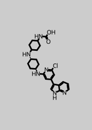 O=C(O)NC1CCC(N[C@H]2CC[C@H](Nc3cc(-c4c[nH]c5ncccc45)cc(Cl)n3)CC2)CC1